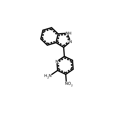 Nc1nc(-c2n[nH]c3ccccc23)ccc1[N+](=O)[O-]